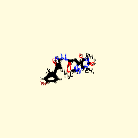 Cn1nc2c(c1CC(=O)Nc1cc(-c3ccc(Br)cc3)on1)c(=O)n(C)c(=O)n2C